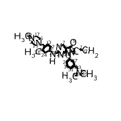 C=CCn1c(=O)c2cnc(Nc3ccc(N4CCN(C)CC4)c(C)c3)nc2n1-c1cccc(CN(C)C)c1